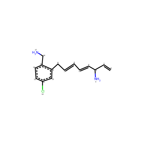 C=CC(N)C=CC=CCc1cc(Cl)ccc1CN